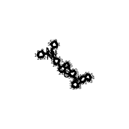 c1ccc(-c2nc(-c3ccccc3)nc(-c3ccc(-c4ccc5c6c(cccc46)-c4ccc(-n6c7ccccc7c7cc8ccccc8cc76)cc4O5)cc3)n2)cc1